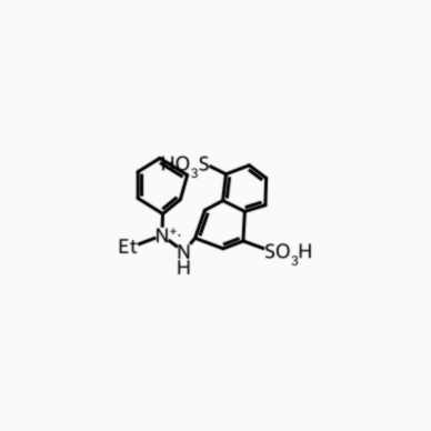 CC[N+](Nc1cc(S(=O)(=O)O)c2cccc(S(=O)(=O)O)c2c1)c1ccccc1